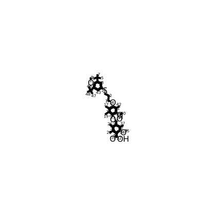 COc1c(C(C)(C)C)cc(SCCCOc2c(C)c(C)c(OC(=O)c3c(C)c(C)c(C(=O)O)c(OC)c3C)c(OC)c2C)cc1C(C)(C)C